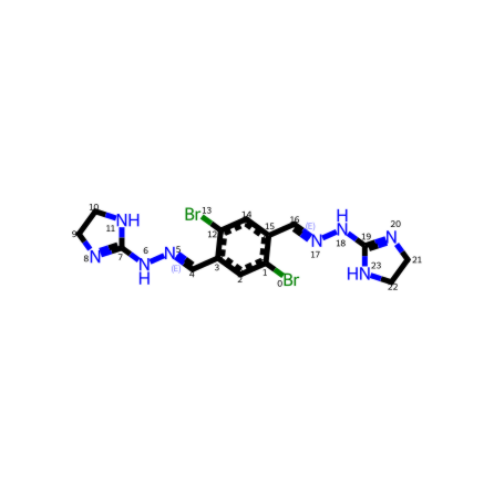 Brc1cc(/C=N/NC2=NCCN2)c(Br)cc1/C=N/NC1=NCCN1